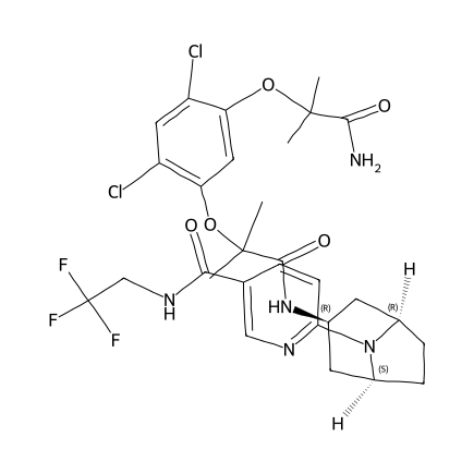 CC(C)(Oc1cc(OC(C)(C)C(=O)N[C@H]2C[C@H]3CC[C@@H](C2)N3c2ccc(C(=O)NCC(F)(F)F)cn2)c(Cl)cc1Cl)C(N)=O